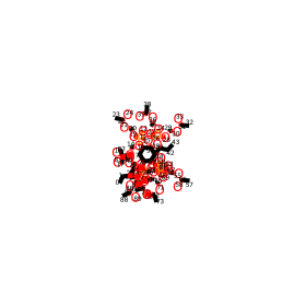 CCCC(=O)OC1CCC(OP(=O)(OCOC(C)=O)OCOC(C)=O)(OP(=O)(OCOC(C)=O)OCOC(C)=O)C(CCC)(OP(=O)(OCOC(C)=O)OCOC(C)=O)C1(OP(=O)(OCOC(C)=O)OCOC(C)=O)OP(=O)(OCOC(C)=O)OCOC(C)=O